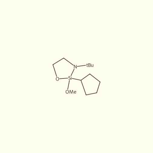 CO[Si]1(C2CCCC2)OCCN1C(C)(C)C